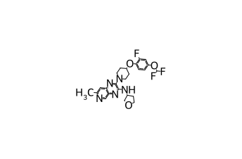 Cc1cc2nc(N3CCC(Oc4ccc(OC(F)F)cc4F)CC3)c(N[C@@H]3CCOC3)nc2cn1